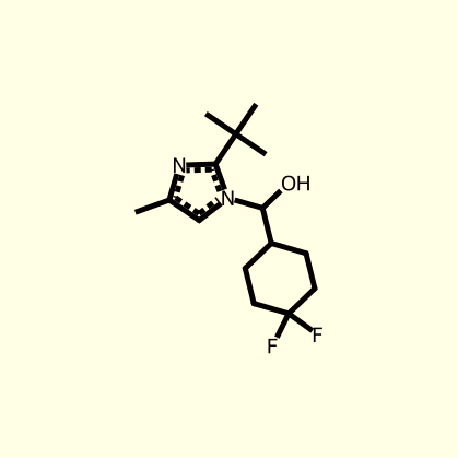 Cc1cn(C(O)C2CCC(F)(F)CC2)c(C(C)(C)C)n1